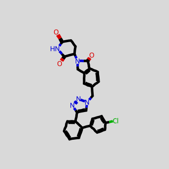 O=C1CCC(N2Cc3cc(Cn4cc(-c5ccccc5-c5ccc(Cl)cc5)nn4)ccc3C2=O)C(=O)N1